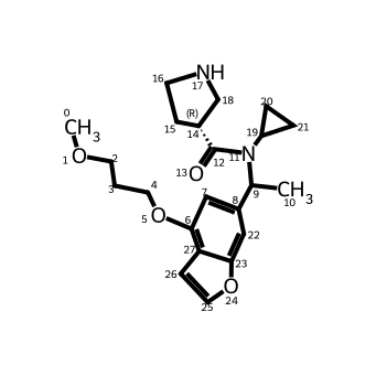 COCCCOc1cc(C(C)N(C(=O)[C@@H]2CCNC2)C2CC2)cc2occc12